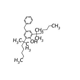 CCCCCC(C)(C)c1cc(Cc2ccccc2)cc(C(C)(C)CCCCC)c1O